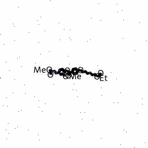 CCC(=O)OCCCCCCOc1ccc(C(=O)Oc2ccc(/C=C/C(=O)OC)cc2OC)cc1